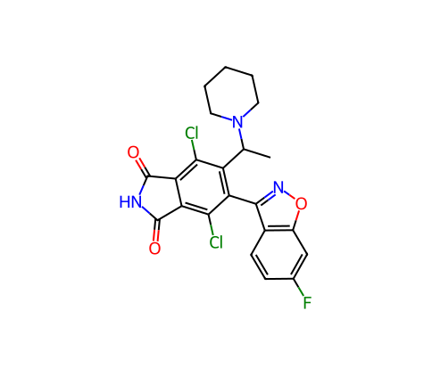 CC(c1c(Cl)c2c(c(Cl)c1-c1noc3cc(F)ccc13)C(=O)NC2=O)N1CCCCC1